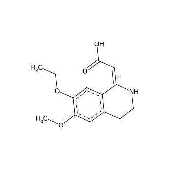 CCOc1cc2c(cc1OC)CCN/C2=C/C(=O)O